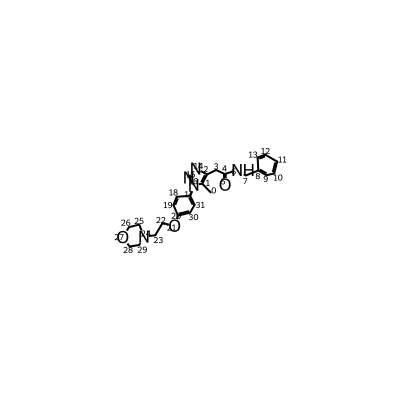 Cc1c(CC(=O)NCc2ccccc2)nnn1-c1ccc(OCCN2CCOCC2)cc1